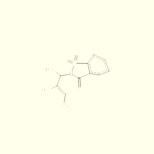 CC(=CC#N)C(C)N1C(=O)c2ccccc2S1(=O)=O